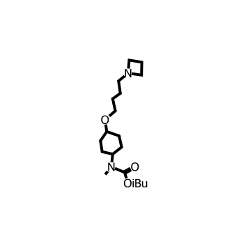 CC(C)COC(=O)N(C)C1CCC(OCCCCN2CCC2)CC1